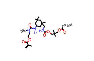 C=C(C)C(=O)OCCN(C(=O)NC1CC(C)(C)CC(C)(CNC(=O)OCC(C)(C)COC(=O)CCCCC)C1)C(C)(C)C